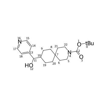 CC(C)(C)OC(=O)N1CCC2(CCC(C(O)c3ccncc3)CC2)CC1